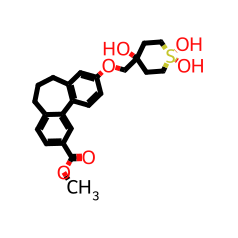 COC(=O)c1ccc2c(c1)-c1ccc(OCC3(O)CCS(O)(O)CC3)cc1CCC2